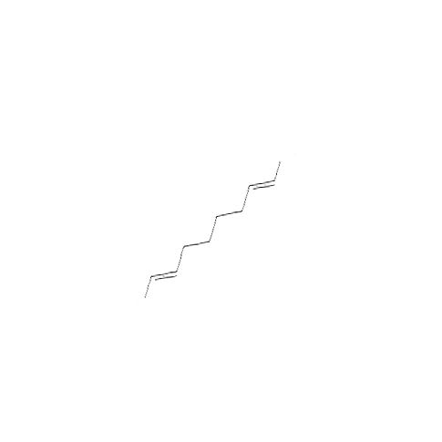 [CH2]CCC=CCCCCC=CCCCCCC